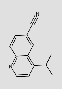 CC(C)c1ccnc2ccc(C#N)cc12